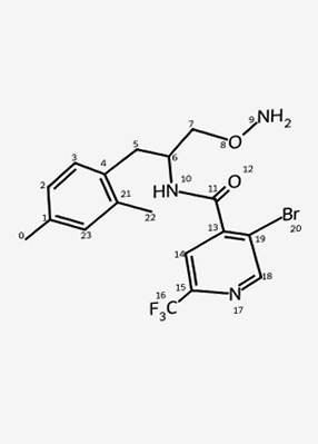 Cc1ccc(CC(CON)NC(=O)c2cc(C(F)(F)F)ncc2Br)c(C)c1